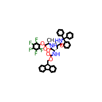 C[C@H](NC(=O)[C@H](CCC(=O)NC(c1ccccc1)(c1ccccc1)c1ccccc1)NC(=O)OCC1c2ccccc2-c2ccccc21)C(=O)Oc1c(F)c(F)c(F)c(F)c1F